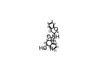 O=C(NC1COc2ccccc2C1)[C@]1(F)CC[C@H](O)c2ncccc21